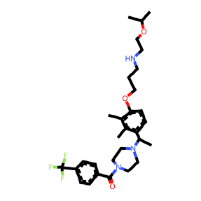 Cc1c(OCCCNCCOC(C)C)ccc(C(C)N2CCN(C(=O)c3ccc(C(F)(F)F)cc3)CC2)c1C